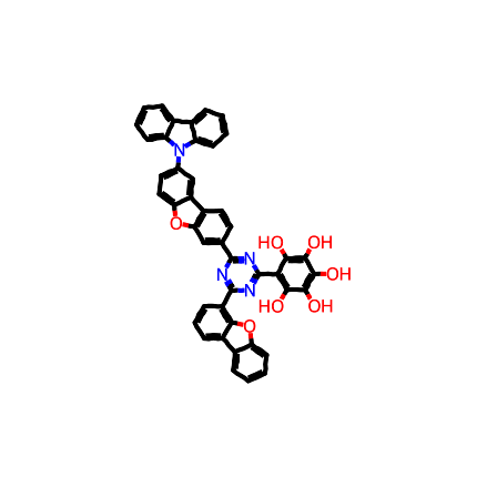 Oc1c(O)c(O)c(-c2nc(-c3ccc4c(c3)oc3ccc(-n5c6ccccc6c6ccccc65)cc34)nc(-c3cccc4c3oc3ccccc34)n2)c(O)c1O